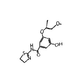 COC[C@H](C)Oc1cc(O)cc(C(=O)NC2=NCCS2)c1